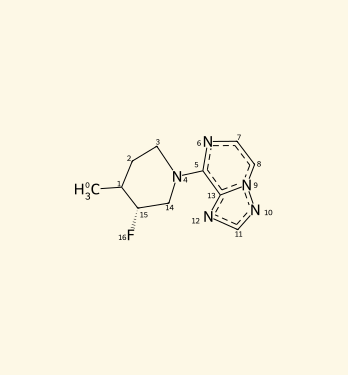 CC1CCN(c2nccn3ncnc23)C[C@@H]1F